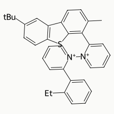 CCc1ccccc1-c1cccc[n+]1-[n+]1ccccc1-c1c(C)ccc2c1sc1ccc(C(C)(C)C)cc12